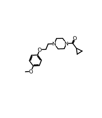 COc1ccc(OCCN2CCN(C(=O)C3CC3)CC2)cc1